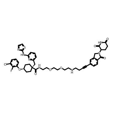 O=C1CCC(N2Cc3cc(C#CCCNCCOCCOCCNC(=O)[C@]4(Cc5cccc(Nc6nccs6)n5)CC[C@@H](Oc5cccc(Cl)c5F)CC4)ccc3C2=O)C(=O)N1